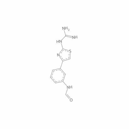 N=C(N)Nc1nc(-c2cccc(NC=O)c2)cs1